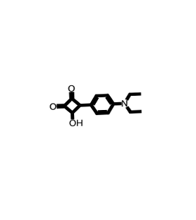 CCN(CC)c1ccc(C2C(=O)C(=O)C2O)cc1